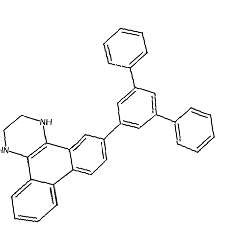 c1ccc(-c2cc(-c3ccccc3)cc(-c3ccc4c(c3)c3c(c5ccccc54)NCCN3)c2)cc1